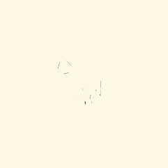 CCNC(=O)OC([C]=O)CCc1ccccc1